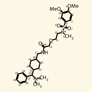 COc1ccc(S(=O)(=O)N(C)CCOCC(=O)NCC2CCC(C(c3ccccc3)N(C)C)CC2)cc1OC